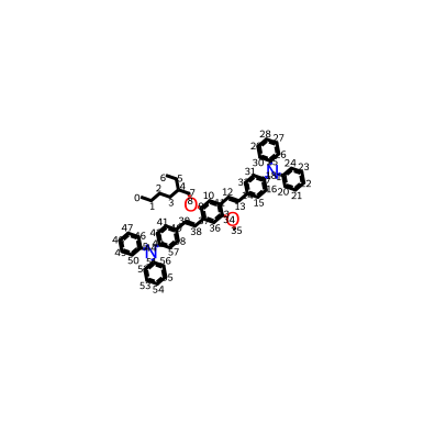 CCCCC(CC)COc1cc(/C=C/c2ccc(N(c3ccccc3)c3ccccc3)cc2)c(OC)cc1/C=C/c1ccc(N(c2ccccc2)c2ccccc2)cc1